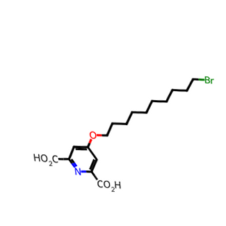 O=C(O)c1cc(OCCCCCCCCCCBr)cc(C(=O)O)n1